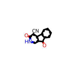 N#Cc1c2c(c[nH]c1=O)C(=O)c1ccccc1-2